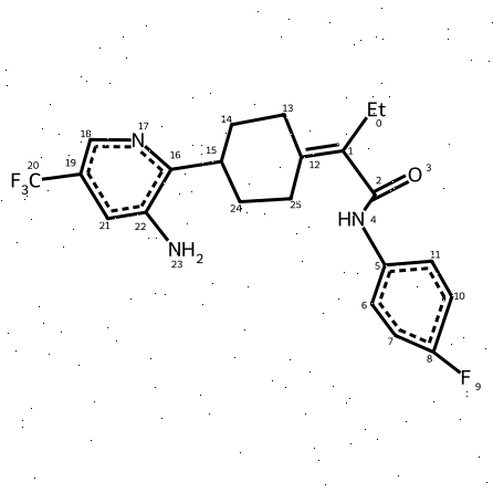 CCC(C(=O)Nc1ccc(F)cc1)=C1CCC(c2ncc(C(F)(F)F)cc2N)CC1